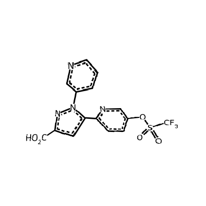 O=C(O)c1cc(-c2ccc(OS(=O)(=O)C(F)(F)F)cn2)n(-c2cccnc2)n1